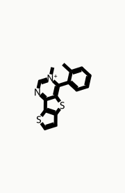 Cc1ccccc1-c1c2sc3ccsc3c2nc[n+]1C